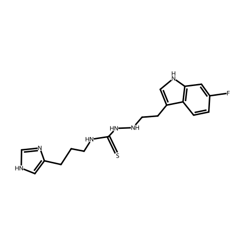 Fc1ccc2c(CCNNC(=S)NCCCc3c[nH]cn3)c[nH]c2c1